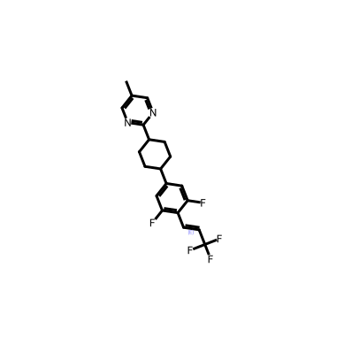 Cc1cnc(C2CCC(c3cc(F)c(/C=C/C(F)(F)F)c(F)c3)CC2)nc1